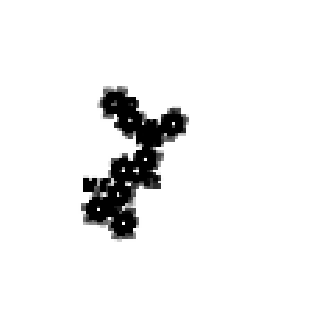 CCC(Cc1ccccc1-c1ccc2c(c1C)c1ccccc1n2-c1ccccc1)c1ccc(-c2nc(-c3ccccc3)nc(-c3ccc4c(c3)oc3ccccc34)n2)cc1